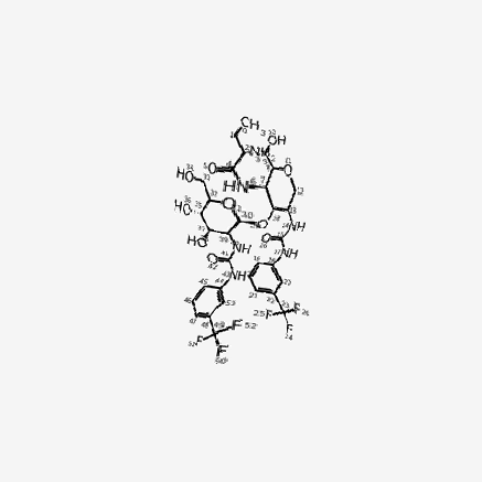 CC[C@H](N)C(=O)N[C@H]1C(CO)OCC(NC(=O)Nc2cccc(C(F)(F)F)c2)[C@H]1O[C@@H]1OC(CO)[C@@H](O)[C@H](O)C1NC(=O)Nc1cccc(C(F)(F)F)c1